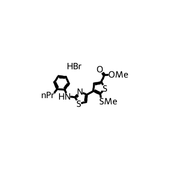 Br.CCCc1ccccc1Nc1nc(-c2cc(C(=O)OC)sc2SC)cs1